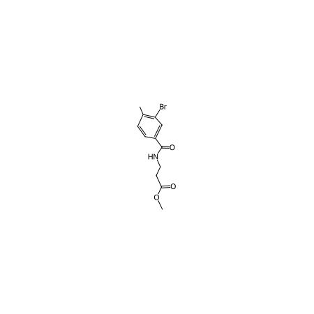 COC(=O)CCNC(=O)c1ccc(C)c(Br)c1